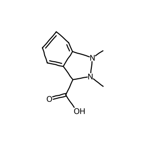 CN1c2ccccc2C(C(=O)O)N1C